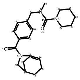 CN(Cc1ccc(C(=O)N2CC3CCC=C2C3)cc1)C(=O)N1CCCCC1